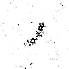 CS(=O)(=O)N1CCC(CCNC(=O)Nc2cnc3[nH]ccc3n2)CC1